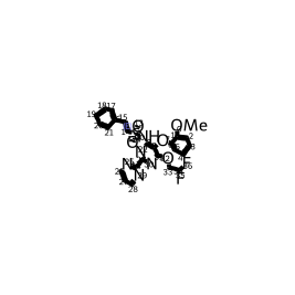 COc1ccccc1Oc1c(NS(=O)(=O)/C=C/c2ccccc2)nc(-c2ncccn2)nc1OCC(F)F